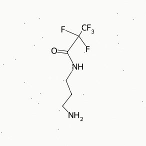 NCCCNC(=O)C(F)(F)C(F)(F)F